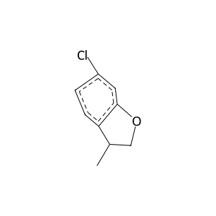 CC1COc2cc(Cl)ccc21